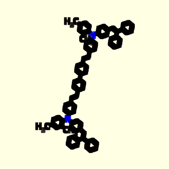 Cc1ccc(N(c2ccc(C=C(c3ccccc3)c3ccccc3)cc2)c2ccc(/C=C/c3ccc(-c4ccc(/C=C/c5ccc(N(c6ccc(C=C(c7ccccc7)c7ccccc7)cc6)c6ccc(C)cc6C)cc5)cc4)cc3)cc2)c(C)c1